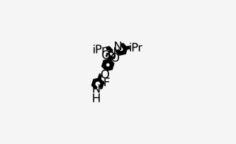 CC(C)CN(c1ccc(C(C)C)cn1)S(=O)(=O)c1ccc(OCC2CCNCC2F)cc1